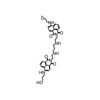 COCCNc1ccc2c3c(cccc13)C(=O)N(CCNCCCNCCN1C(=O)c3cccc4c(NCCCO)ccc(c34)C1=O)C2=O